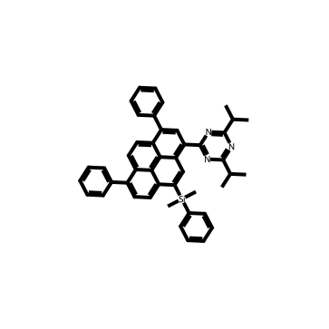 CC(C)c1nc(-c2cc(-c3ccccc3)c3ccc4c(-c5ccccc5)ccc5c([Si](C)(C)c6ccccc6)cc2c3c45)nc(C(C)C)n1